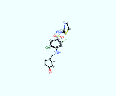 O=C1CCC(CNc2cc(F)c(S(=O)(=O)Nc3nccs3)cc2Cl)CC1